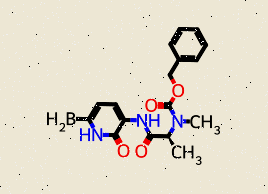 Bc1ccc(NC(=O)[C@H](C)N(C)C(=O)OCc2ccccc2)c(=O)[nH]1